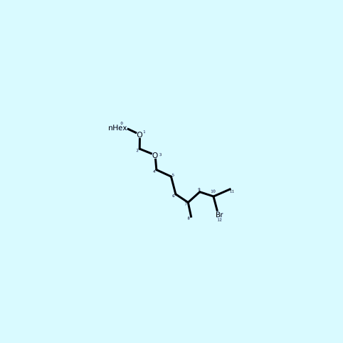 CCCCCCOCOCCCC(C)CC(C)Br